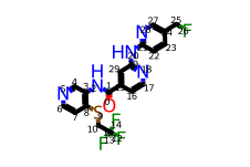 O=C(Nc1cnccc1SCC(F)(F)F)c1ccnc(Nc2ccc(CF)cn2)c1